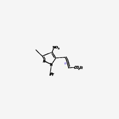 CCOC(=O)/C=C/c1c([N+](=O)[O-])c(C)nn1C(C)C